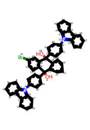 OC1(c2ccc(-n3c4ccccc4c4ccccc43)cc2)c2ccccc2C(O)(c2ccc(-n3c4ccccc4c4ccccc43)cc2)c2cc(Br)ccc21